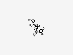 COc1ccc(CN(c2nccs2)S(=O)(=O)c2cc(Cl)c(N[C@@H](N)c3cccc(Br)c3)cc2F)c(OC)c1